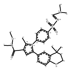 CON(C)C(=O)c1cc(-c2ccc3c(c2)C(C)(C)CCO3)n(-c2ccc(S(=O)(=O)/N=C/N(C)C)cc2)c1C